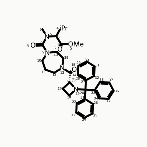 COC(=O)C(C(C)C)N(C)C(=O)N1CCCN(C(=O)[C@H]2CCN2C(c2ccccc2)(c2ccccc2)c2ccccc2)CC1